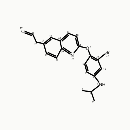 CC(C)Nc1ccc(Oc2ccc3cc(CC=O)ccc3n2)c(Br)c1